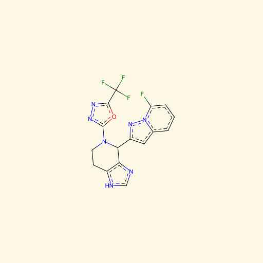 Fc1cccc2cc(C3c4nc[nH]c4CCN3c3nnc(C(F)(F)F)o3)nn12